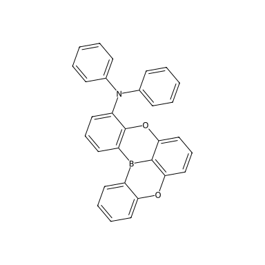 c1ccc(N(c2ccccc2)c2cccc3c2Oc2cccc4c2B3c2ccccc2O4)cc1